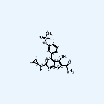 CS(=O)(=O)Nc1cccc(-c2nc(NC3CC3)nc3sc(C(N)=O)c(N)c23)c1